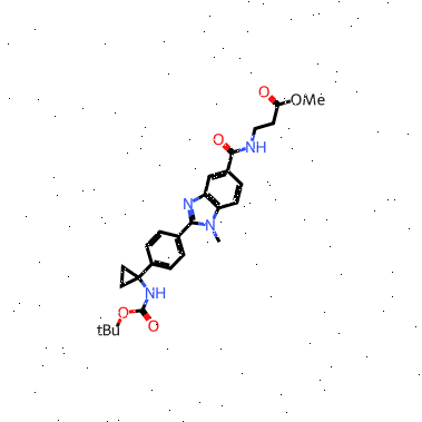 COC(=O)CCNC(=O)c1ccc2c(c1)nc(-c1ccc(C3(NC(=O)OC(C)(C)C)CC3)cc1)n2C